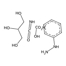 N=C=O.NNc1ccccc1.O=C(O)O.OCC(O)CO